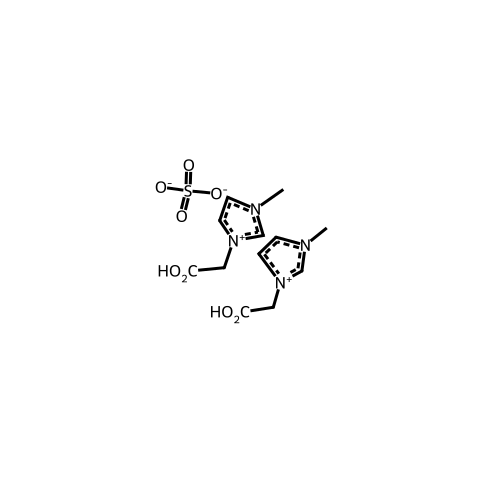 Cn1cc[n+](CC(=O)O)c1.Cn1cc[n+](CC(=O)O)c1.O=S(=O)([O-])[O-]